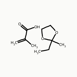 C=C(C)C(=O)O.CCC1(C)OCCO1